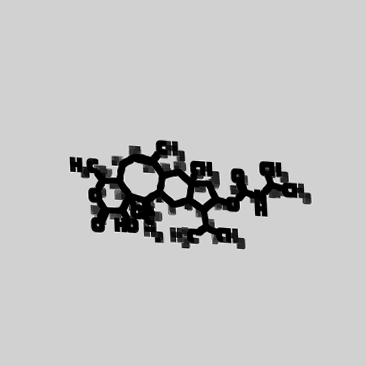 C=C1C2CC3C(C(C)C)C(OC(=O)NC(C)C)CC3(C)CC2/C(C)=C\CC2C(C)OC(=O)C(O)C12O